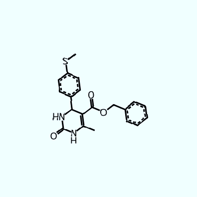 CSc1ccc(C2NC(=O)NC(C)=C2C(=O)OCc2ccccc2)cc1